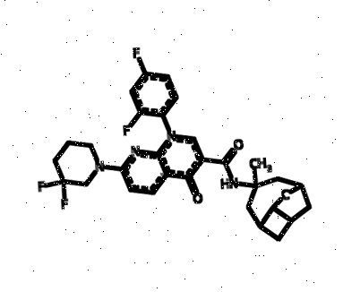 CC1(NC(=O)c2cn(-c3ccc(F)cc3F)c3nc(N4CCCC(F)(F)C4)ccc3c2=O)CC2CC3CC(C1)C3C2